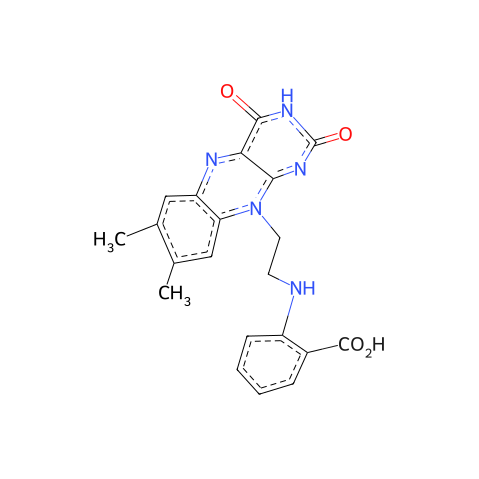 Cc1cc2nc3c(=O)[nH]c(=O)nc-3n(CCNc3ccccc3C(=O)O)c2cc1C